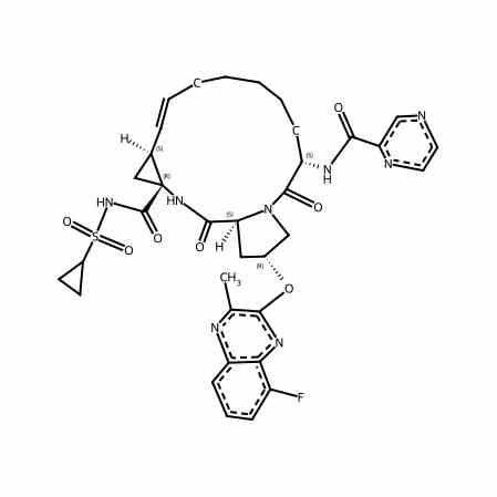 Cc1nc2cccc(F)c2nc1O[C@@H]1C[C@H]2C(=O)N[C@]3(C(=O)NS(=O)(=O)C4CC4)C[C@H]3C=CCCCCC[C@H](NC(=O)c3cnccn3)C(=O)N2C1